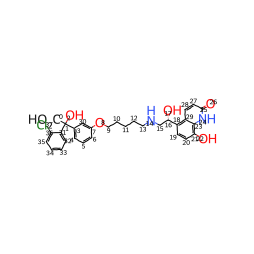 O=C(O)C(O)(c1cccc(OCCCCCNC[C@H](O)c2ccc(O)c3[nH]c(=O)ccc23)c1)c1ccccc1Cl